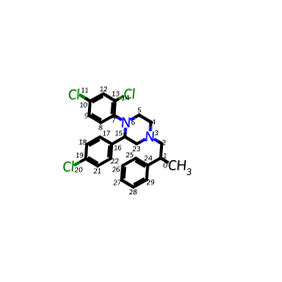 CC(CN1CCN(c2ccc(Cl)cc2Cl)C(c2ccc(Cl)cc2)C1)c1ccccc1